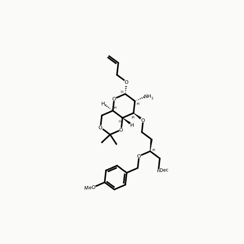 C=CCO[C@H]1O[C@@H]2COC(C)(C)O[C@H]2[C@H](OCC[C@@H](CCCCCCCCCCC)OCc2ccc(OC)cc2)[C@H]1N